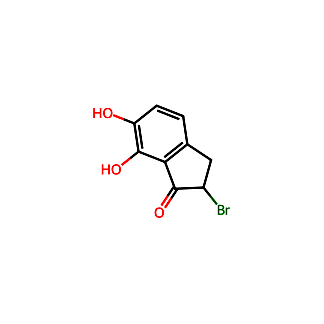 O=C1c2c(ccc(O)c2O)CC1Br